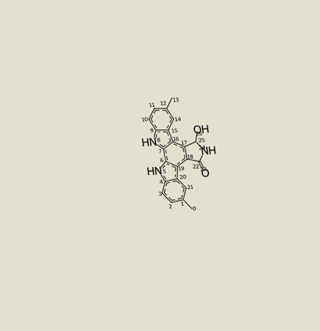 Cc1ccc2[nH]c3c4[nH]c5ccc(C)cc5c4c4c(c3c2c1)C(=O)NC4O